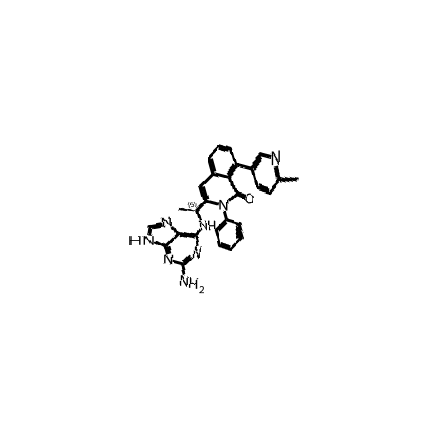 Cc1ccc(-c2cccc3cc([C@H](C)Nc4nc(N)nc5[nH]cnc45)n(-c4ccccc4)c(=O)c23)cn1